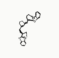 C1=C(C=C2CC[n+]3c2sc2ccccc23)CCC/C1=C\C1=C2Sc3ccccc3N2CC1